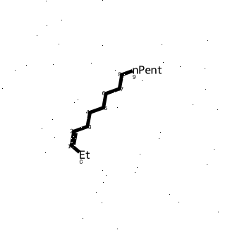 CC/C=[C]\CCCCCCCCCCC